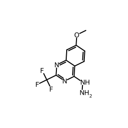 COc1ccc2c(NN)nc(C(F)(F)F)nc2c1